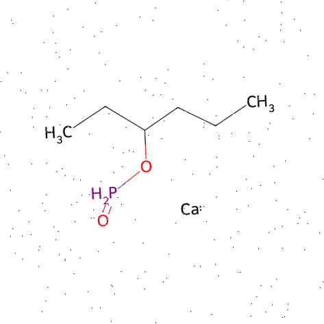 CCCC(CC)O[PH2]=O.[Ca]